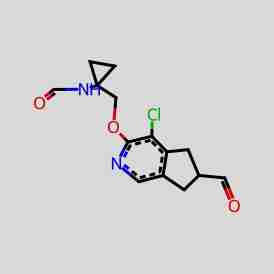 O=CNC1(COc2ncc3c(c2Cl)CC(C=O)C3)CC1